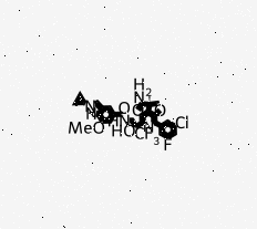 COc1cc(C(=O)NCC(O)(c2cc3c(c(-c4cc(F)cc(Cl)c4)n2)OC[C@]3(C)C(N)=O)C(F)(F)F)cc2cn(C3CC3)nc12